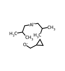 CC(C)[CH2][Al+][CH2]C(C)C.[O-]CC1CC1